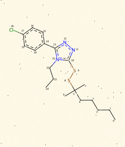 CCCCCC(C)(C)SSc1nnc(-c2ccc(Cl)cc2)n1CCC